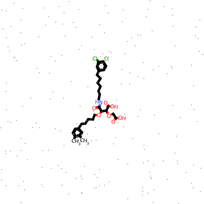 Cc1ccc(CCCCCOC(C(=O)NCCCCCCCc2ccc(Cl)c(Cl)c2)C(OCC(=O)O)C(=O)O)cc1C